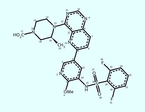 COc1ncc(-c2ccc3ncnc(N4CCN(C(=O)O)C[C@@H]4C)c3n2)cc1NS(=O)(=O)c1c(F)cccc1F